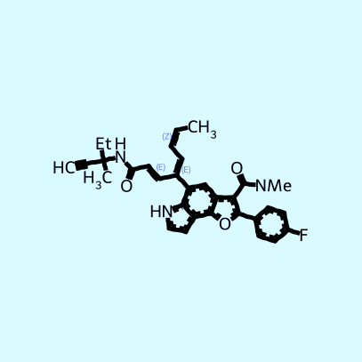 C#CC(C)(CC)NC(=O)/C=C/C(=C\C=C/C)c1cc2c(C(=O)NC)c(-c3ccc(F)cc3)oc2c2cc[nH]c12